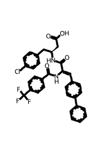 O=C(O)C[C@H](Cc1ccc(Cl)cc1)NC(=O)C(=Cc1ccc(-c2ccccc2)cc1)NC(=O)c1ccc(C(F)(F)F)cc1